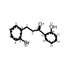 O=C(CCc1ccccc1Br)c1ccccc1O